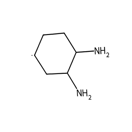 NC1C[CH]CCC1N